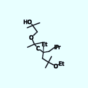 CCOC(C)(C)CC(CC)(CC(C)C)CC(C)(C)OCC(C)(C)O